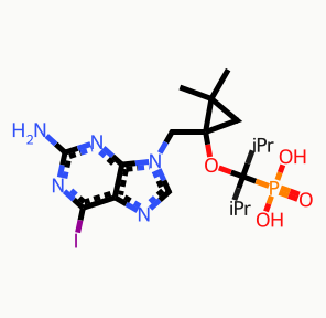 CC(C)C(OC1(Cn2cnc3c(I)nc(N)nc32)CC1(C)C)(C(C)C)P(=O)(O)O